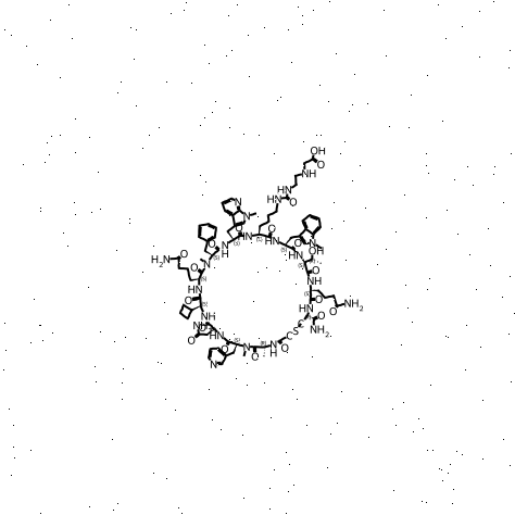 C[C@H]1NC(=O)CSC[C@@H](C(N)=O)NC(=O)[C@H](CCCC(N)=O)NC(=O)[C@H]([C@@H](C)O)NC(=O)[C@H](Cc2cn(C)c3ccccc23)NC(=O)[C@H](CCCCNC(=O)NCCNCC(=O)O)NC(=O)[C@H](Cc2cn(C)c3ncccc23)NC(=O)[C@H](Cc2ccccc2)N(C)C(=O)[C@H](CCCC(N)=O)NC(=O)[C@H](C2CCC2)NC(=O)[C@H](CC(N)=O)NC(=O)[C@H](Cc2cccnc2)N(C)C1=O